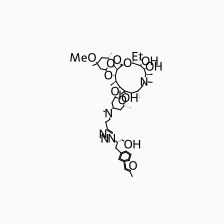 CC[C@H]1OC(=O)[C@H](C)[C@@H](O[C@H]2C[C@@](C)(OC)C[C@H](C)O2)[C@H](C)[C@@H](O[C@H]2C[C@@H](N(C)CCc3cn([C@H](CO)Cc4ccc5oc(C)cc5c4)nn3)C[C@@H](C)O2)[C@@](O)(I)C[C@@H](C)CN(C)[C@H](C)[C@@H](O)[C@]1(C)O